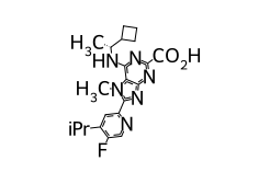 CC(C)c1cc(-c2nc3nc(C(=O)O)nc(N[C@H](C)C4CCC4)c3n2C)ncc1F